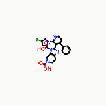 O=C(O)N1CCc2nc(-c3c(-c4ccccc4)ccnc3N3CCC(F)C3)n(C(=O)O)c2C1